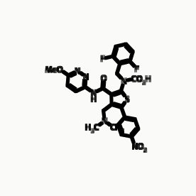 COc1ccc(NC(=O)c2c(N(Cc3c(F)cccc3F)C(=O)O)sc(-c3ccc([N+](=O)[O-])cc3)c2CN(C)C)nn1